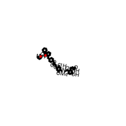 COc1cc(OCC(=O)OC2CCC(Cc3cccc(C4(C(=O)O[C@H]5CN6CCC5CC6)CCCCC4)c3)CC2)c(Cl)cc1CNC[C@H](O)c1ccc(O)c2[nH]c(=O)ccc12